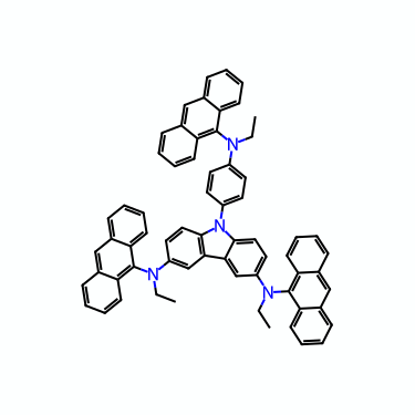 CCN(c1ccc(-n2c3ccc(N(CC)c4c5ccccc5cc5ccccc45)cc3c3cc(N(CC)c4c5ccccc5cc5ccccc45)ccc32)cc1)c1c2ccccc2cc2ccccc12